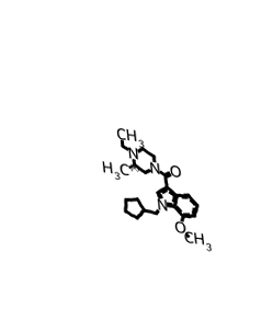 CCN1CCN(C(=O)c2cn(CC3CCCC3)c3c(OC)cccc23)C[C@H]1C